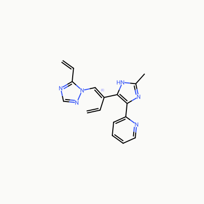 C=C/C(=C\n1ncnc1C=C)c1[nH]c(C)nc1-c1ccccn1